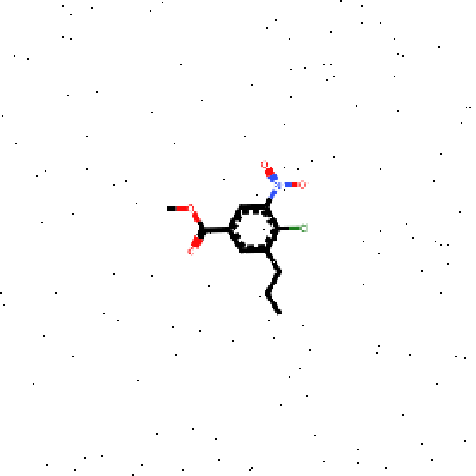 CCCc1cc(C(=O)OC)cc([N+](=O)[O-])c1Cl